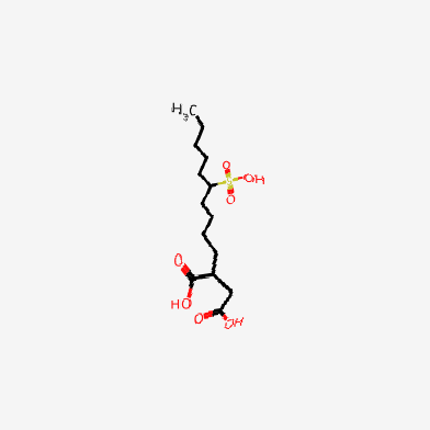 CCCCCC(CCCCC(CC(=O)O)C(=O)O)S(=O)(=O)O